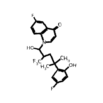 CC(C)(CC(C(O)n1ccc(=O)c2cc(F)ccc21)C(F)(F)F)c1cc(F)ccc1O